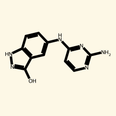 Nc1nccc(Nc2ccc3[nH]nc(O)c3c2)n1